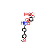 Cc1ccc(S(=O)(=O)NCCc2ccc(-c3ccc(OC(C)C)cc3)cc2)cc1C(=O)O